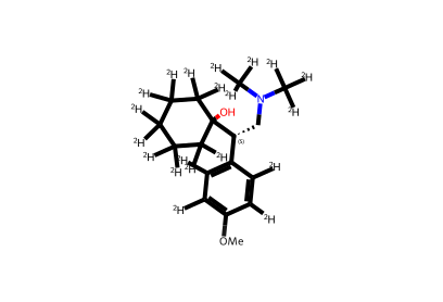 [2H]c1c([2H])c([C@@H](CN(C([2H])([2H])[2H])C([2H])([2H])[2H])C2(O)C([2H])([2H])C([2H])([2H])C([2H])([2H])C([2H])([2H])C2([2H])[2H])c([2H])c([2H])c1OC